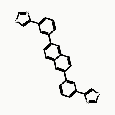 c1cc(-c2ccc3cc(-c4cccc(-c5cscn5)c4)ccc3c2)cc(-c2cscn2)c1